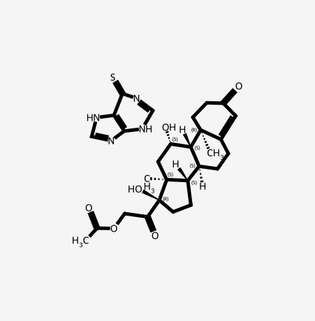 CC(=O)OCC(=O)[C@@]1(O)CC[C@H]2[C@@H]3CCC4=CC(=O)CC[C@]4(C)[C@H]3[C@@H](O)C[C@@]21C.S=c1nc[nH]c2nc[nH]c12